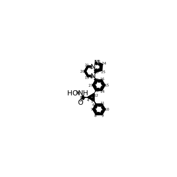 O=C(NO)[C@@H]1[C@H](c2ccccc2)[C@H]1c1cccc(N2CCCn3nccc32)c1